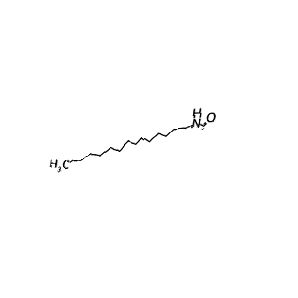 CCCCCCCCCCCCCCCN[C]=O